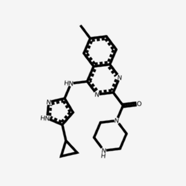 Cc1ccc2nc(C(=O)N3CCNCC3)nc(Nc3cc(C4CC4)[nH]n3)c2c1